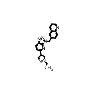 CCN1CC(c2ccc3nnn(Cc4ccc5ncccc5c4)c3n2)C=N1